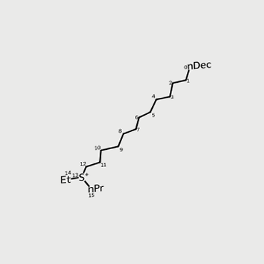 CCCCCCCCCCCCCCCCCCCCCC[S+](CC)CCC